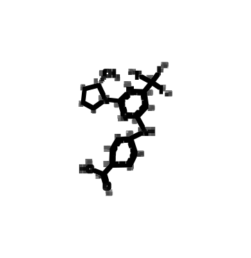 C[C@H]1CCCN1c1nc(Nc2ccc(C(=O)O)cc2)cc(C(F)(F)F)n1